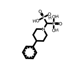 O=P(O)(O)C(N1CCC(c2ccccc2)CC1)P(=O)(O)O